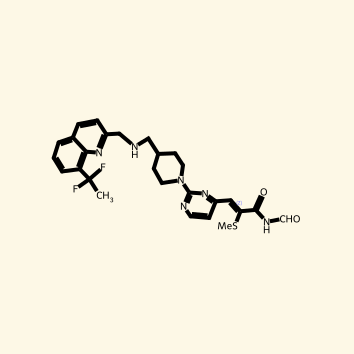 CS/C(=C\c1ccnc(N2CCC(CNCc3ccc4cccc(C(C)(F)F)c4n3)CC2)n1)C(=O)NC=O